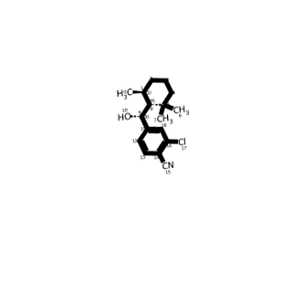 C[C@H]1CCCC(C)(C)[C@@H]1[C@@H](O)c1ccc(C#N)c(Cl)c1